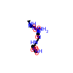 CN(CCCCCNCCCc1cccc2c1C(=O)N(C1CCC(=O)NC1=O)C2=O)C(=O)c1ccc(-n2cc(NC(=O)c3coc(-c4ccnc(NCC5CC5)c4)n3)c(C(N)=O)n2)cc1